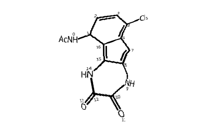 CC(=O)NC1C=CC(Cl)=C2C=c3[nH]c(=O)c(=O)[nH]c3=C21